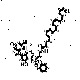 C=C1C(n2cnc3c(=O)nc(N)[nH]c32)C[C@H](O)[C@H]1COP(=O)(NCCNC(=O)CC/C=C\C/C=C\C/C=C\C/C=C\C/C=C\C/C=C\CC)Oc1ccccc1